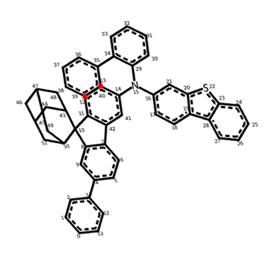 c1ccc(-c2ccc3c(c2)C2(c4ccc(N(c5ccc6c(c5)sc5ccccc56)c5ccccc5-c5ccccc5)cc4-3)C3CC4CC(C3)CC2C4)cc1